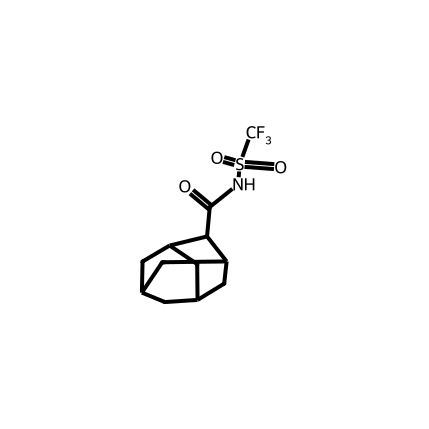 O=C(NS(=O)(=O)C(F)(F)F)C1C2CC3CC(C2)CC1C3